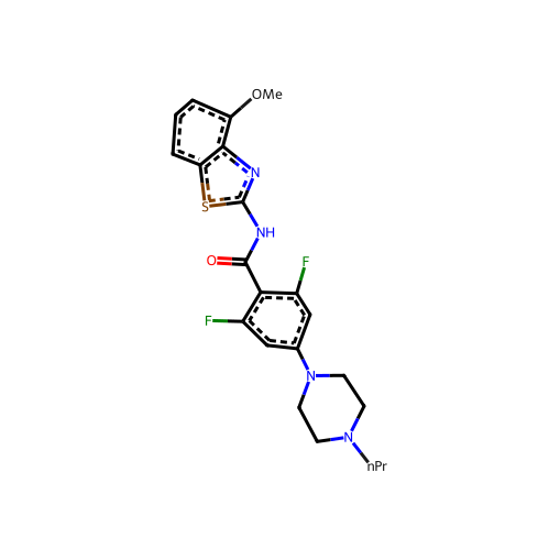 CCCN1CCN(c2cc(F)c(C(=O)Nc3nc4c(OC)cccc4s3)c(F)c2)CC1